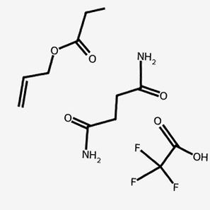 C=CCOC(=O)CC.NC(=O)CCC(N)=O.O=C(O)C(F)(F)F